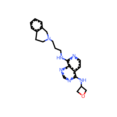 c1ccc2c(c1)CCN(CCCNc1nccc3c(NC4COC4)ncnc13)C2